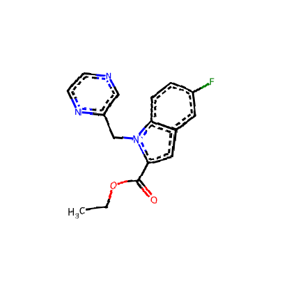 CCOC(=O)c1cc2cc(F)ccc2n1Cc1cnccn1